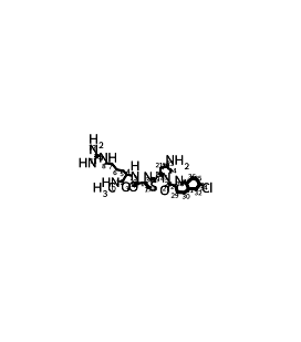 CNC(=O)C(CCCCNC(=N)N)NC(=O)c1csc([C@@H]2C[C@@H](N)CN2C(=O)c2ccc3cc(Cl)ccc3n2)n1